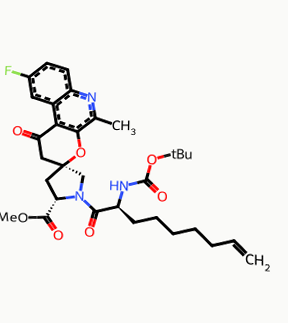 C=CCCCCC[C@H](NC(=O)OC(C)(C)C)C(=O)N1C[C@@]2(CC(=O)c3c(c(C)nc4ccc(F)cc34)O2)C[C@H]1C(=O)OC